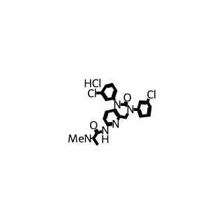 CN[C@@H](C)C(=O)Nc1ccc2c(n1)CN(c1cccc(Cl)c1)C(=O)N2c1cccc(Cl)c1.Cl